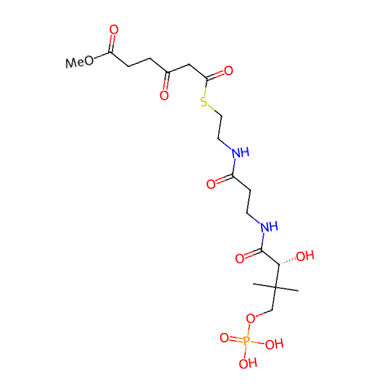 COC(=O)CCC(=O)CC(=O)SCCNC(=O)CCNC(=O)[C@H](O)C(C)(C)COP(=O)(O)O